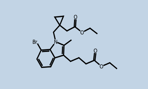 CCOC(=O)CCCc1c(C)n(CC2(CC(=O)OCC)CC2)c2c(Br)cccc12